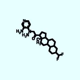 CC12CCC3C4CCC(C(F)F)CC4CCC3C1CCC2C(=O)CN(N)c1ccncc1N